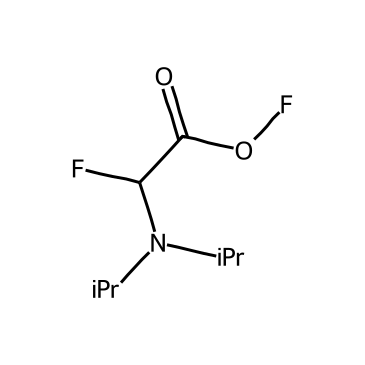 CC(C)N(C(C)C)C(F)C(=O)OF